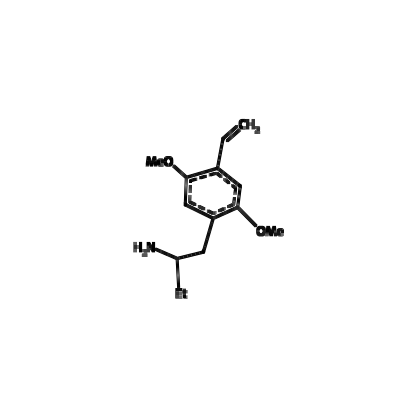 C=Cc1cc(OC)c(CC(N)CC)cc1OC